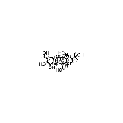 CC(C)(O)[C@H]1CO[C@H]2[C@H](O1)[C@@H](O)[C@@H](O[C@H]1O[C@H](CO)[C@@H](O)[C@H](O)[C@H]1O)O[C@@H]2CO